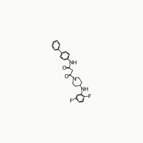 O=C(CC(=O)N1CCC(Nc2cc(F)ccc2F)CC1)Nc1ccc(-c2ccccc2)cc1